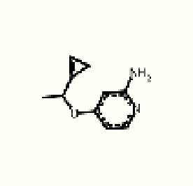 CC(Oc1ccnc(N)c1)C1=CC1